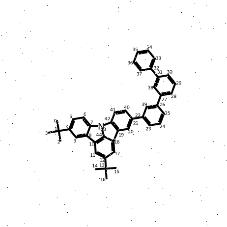 CC(C)(C)c1ccc2c(c1)c1cc(C(C)(C)C)cc3c4cc(-c5cccc(-c6cccc(-c7ccccc7)c6)c5)ccc4n2c31